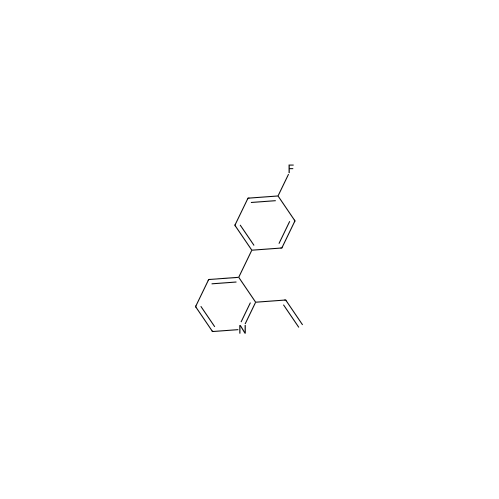 C=Cc1ncccc1-c1ccc(F)cc1